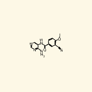 N#Cc1cc(C(=O)Nc2cncnc2N)ccc1OI